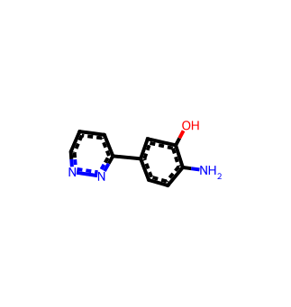 Nc1ccc(-c2cccnn2)cc1O